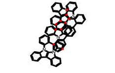 c1ccc(-n2c3ccccc3c3ccccc32)c(-c2ccccc2-n2c3ccccc3c3c4ccccc4n(-c4ccc(-c5ccc(-c6ccccc6-n6c7ccccc7c7c8ccccc8oc76)c(-n6c7ccccc7c7c8ccccc8sc76)c5)cc4)c32)c1